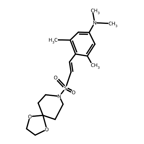 Cc1cc(N(C)C)cc(C)c1/C=C/S(=O)(=O)N1CCC2(CC1)OCCO2